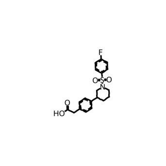 O=C(O)Cc1ccc(C2CCCN(S(=O)(=O)c3ccc(F)cc3)C2)cc1